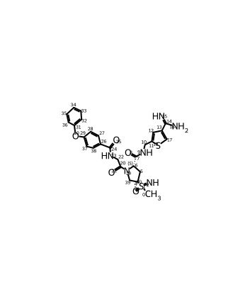 CS(=N)(=O)[C@@H]1C[C@@H](C(=O)NCc2cc(C(=N)N)cs2)N(C(=O)CNC(=O)c2ccc(Oc3ccccc3)cc2)C1